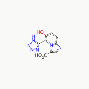 O=C(O)c1cnc2ccc(O)c(-c3nnn[nH]3)n12